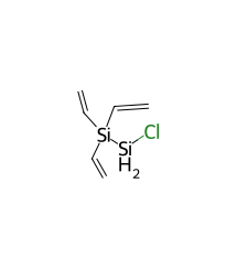 C=C[Si](C=C)(C=C)[SiH2]Cl